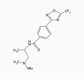 CCCCN(C)CC(C)NC(=O)c1ccc(-c2noc(C(F)(F)F)n2)cc1